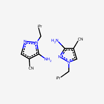 CC(C)Cn1cc(C#N)c(N)n1.CC(C)Cn1ncc(C#N)c1N